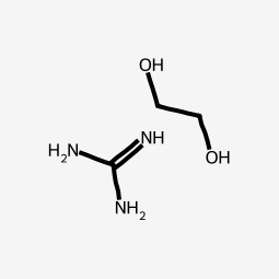 N=C(N)N.OCCO